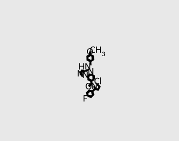 COc1ccc(CNc2nc3cc(Cl)c(C(=O)N4CCCC4c4ccc(F)cc4)cc3n3cncc23)cc1